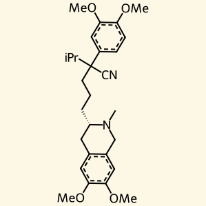 COc1ccc(C(C#N)(CCC[C@H]2Cc3cc(OC)c(OC)cc3CN2C)C(C)C)cc1OC